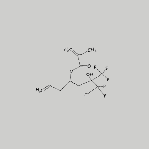 C=CCC(CC(O)(C(F)(F)F)C(F)(F)F)OC(=O)C(=C)C